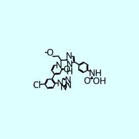 COCCC(c1ncc(-c2ccc(NC(=O)O)cc2)[nH]1)n1ccc(-c2cc(Cl)ccc2-n2cnnn2)cc1=O